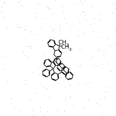 CC1(C)C2=CC=C(N(c3ccc(-c4ccccc4)cc3)c3ccccc3C3(c4ccccc4)c4ccccc4-c4ccccc4-c4ccccc43)CC2c2ccccc21